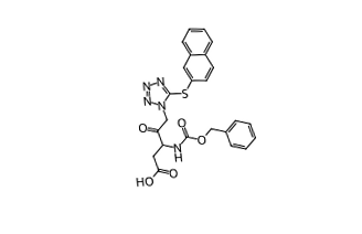 O=C(O)CC(NC(=O)OCc1ccccc1)C(=O)Cn1nnnc1Sc1ccc2ccccc2c1